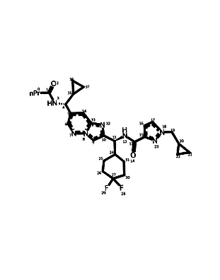 CCCC(=O)N[C@@H](c1cnn2cc([C@@H](NC(=O)c3ccn(CC4CC4)n3)C3CCC(F)(F)CC3)nc2c1)C1CC1